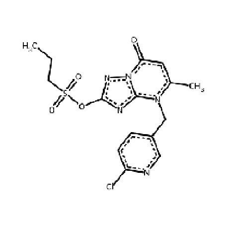 CCCS(=O)(=O)Oc1nc2n(Cc3ccc(Cl)nc3)c(C)cc(=O)n2n1